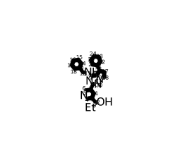 CCC(O)c1cncc(-c2nc(NCc3ccccc3)c3c(-c4ccccc4)ccn3n2)c1